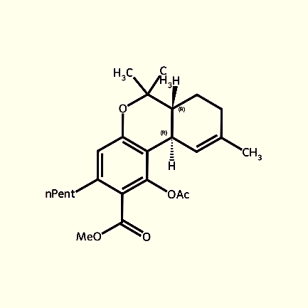 CCCCCc1cc2c(c(OC(C)=O)c1C(=O)OC)[C@@H]1C=C(C)CC[C@H]1C(C)(C)O2